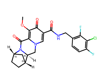 COc1c2n(cc(C(=O)NCc3ccc(F)c(Cl)c3F)c1=O)C[C@H]1[C@@H]3CC[C@@H](C3)N1C2=O